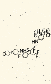 COc1cc(P(C)(C)=O)ccc1NCC#Cc1sc2c(NC3CCN(C4CCOCC4)CC3F)cccc2c1CC(F)(F)F